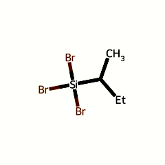 CCC(C)[Si](Br)(Br)Br